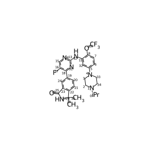 CC(C)N1CCN(c2ccc(OC(F)(F)F)c(Nc3ncc(F)c(-c4ccc5c(c4)C(=O)NC5(C)C)n3)c2)CC1